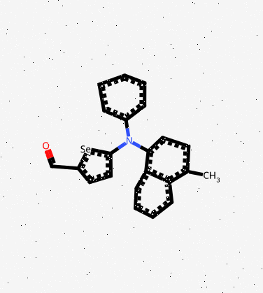 Cc1ccc(N(c2ccccc2)c2ccc(C=O)[se]2)c2ccccc12